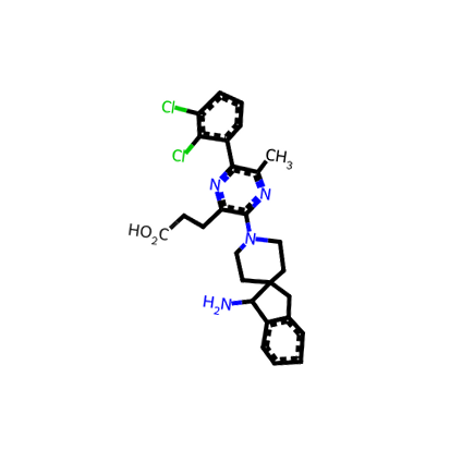 Cc1nc(N2CCC3(CC2)Cc2ccccc2C3N)c(CCC(=O)O)nc1-c1cccc(Cl)c1Cl